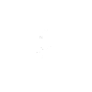 C=C1CC(=O)N(CCN=C=O)C1=O